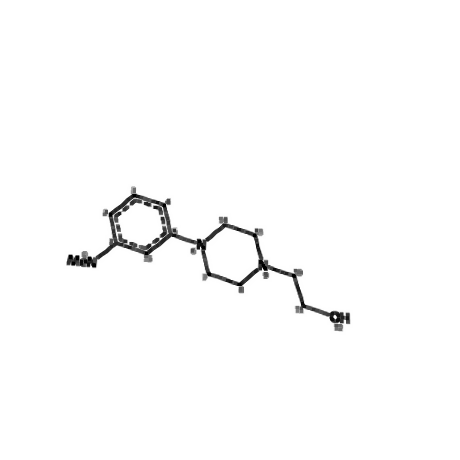 CNc1cccc(N2CCN(CCO)CC2)c1